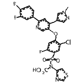 Cn1cc(-c2cc(-c3ccc(F)c(F)c3)ncc2Oc2cc(F)c(S(=O)(=O)N(C(=O)O)c3cscn3)cc2Cl)cn1